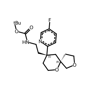 CC(C)(C)OC(=O)NCC[C@]1(c2ccc(F)cn2)CCO[C@@]2(CCOC2)C1